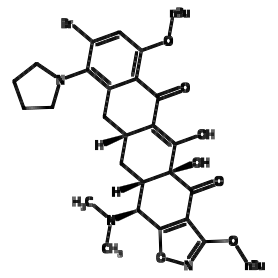 CCCCOc1cc(Br)c(N2CCCC2)c2c1C(=O)C1=C(O)[C@]3(O)C(=O)c4c(OCCCC)noc4[C@@H](N(C)C)[C@@H]3C[C@@H]1C2